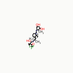 C=C1/C(=C\C=C2/CCC[C@]3(C)[C@@H]([C@H](C)/C=C/[C@H](O)C4(C(=O)C(F)(F)F)CC4)CC[C@@H]23)C[C@@H](O)C[C@@H]1O